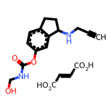 C#CCNC1CCc2ccc(OC(=O)NCO)cc21.O=C(O)C=CC(=O)O